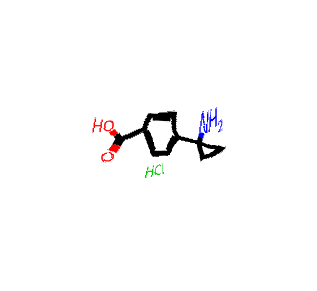 Cl.NC1(c2ccc(C(=O)O)cc2)CC1